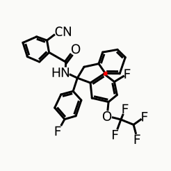 N#Cc1ccccc1C(=O)NC(Cc1ccccc1)(c1ccc(F)cc1)c1cc(F)cc(OC(F)(F)C(F)F)c1